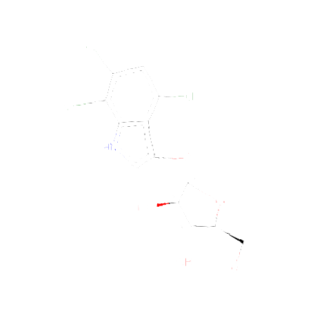 OC[C@@H]1O[C@@H](Oc2c[nH]c3c(Cl)c(Cl)cc(Cl)c23)[C@H](O)[C@H]1O